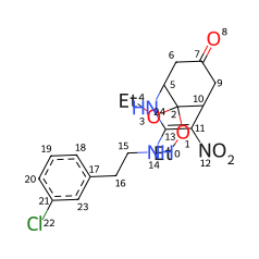 CCOC1(OCC)C2CC(=O)CC1C([N+](=O)[O-])=C(NCCc1cccc(Cl)c1)N2